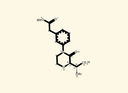 COC(=O)Cc1cccc(N2CCO[C@H]([C@@H](OC(C)=O)C(=O)O)C2=O)c1